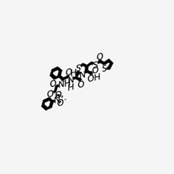 O=C(COc1ccccc1[N+](=O)[O-])N[C@H](C(=O)NC1C(=O)N2C(C(=O)O)=C(CSC(=O)c3cccs3)CS[C@@H]12)c1ccccc1